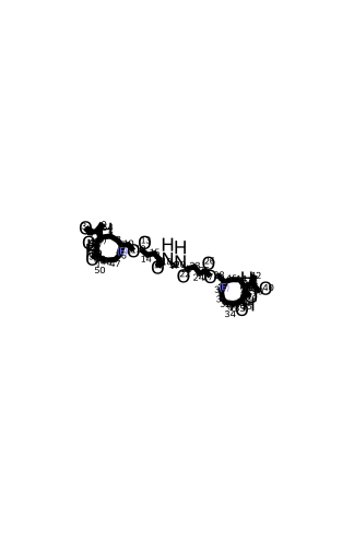 C=C1C(=O)O[C@H]2[C@H]1CC/C(COC(=O)CCC(=O)NCNC(=O)CCC(=O)OC/C1=C/CC[C@@]3(C)O[C@H]3[C@H]3OC(=O)C(=C)[C@@H]3CC1)=C\CC[C@@]1(C)O[C@@H]21